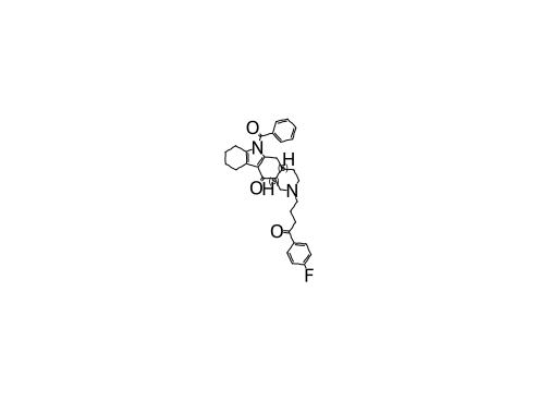 O=C(CCCN1CC[C@H]2Cc3c(c4c(n3C(=O)c3ccccc3)CCCC4)C(=O)[C@@H]2C1)c1ccc(F)cc1